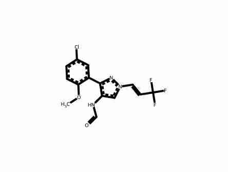 COc1ccc(Cl)cc1-c1nn(/C=C/C(F)(F)F)cc1NC=O